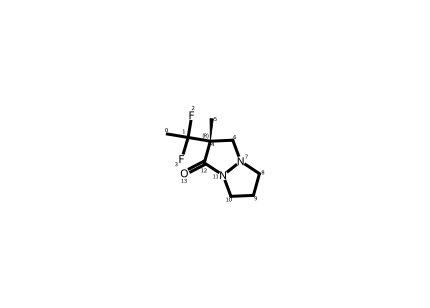 CC(F)(F)[C@]1(C)CN2CCCN2C1=O